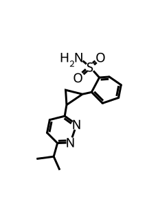 CC(C)c1ccc(C2CC2c2ccccc2S(N)(=O)=O)nn1